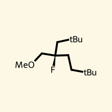 COC[C@@](F)(CCC(C)(C)C)CC(C)(C)C